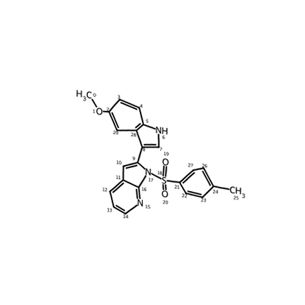 COc1ccc2[nH]cc(-c3cc4cccnc4n3S(=O)(=O)c3ccc(C)cc3)c2c1